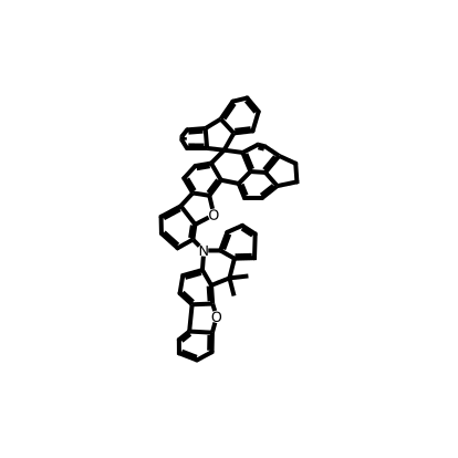 CC1(C)c2ccccc2N(c2cccc3c2oc2c4c(ccc23)C2(c3ccccc3-c3ccccc32)c2ccc3c5c(ccc-4c25)CC3)c2ccc3c(oc4ccccc43)c21